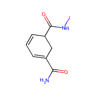 NC(=O)C1=CC=CC(C(=O)NI)C1